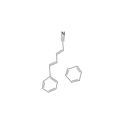 N#CC=CC=Cc1ccccc1.c1ccccc1